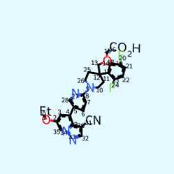 CCOc1cc(-c2ccc(N3CCC(COCC(=O)O)(c4cc(F)ccc4F)CC3)nc2)c2c(C#N)cnn2c1